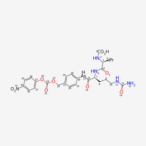 CC(C)[C@H](NC(=O)O)C(=O)N[C@@H](CCCNC(N)=O)C(=O)[AsH]c1ccc(COC(=O)Oc2ccc([N+](=O)[O-])cc2)cc1